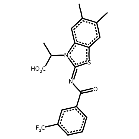 Cc1cc2sc(=NC(=O)c3cccc(C(F)(F)F)c3)n(C(C)C(=O)O)c2cc1C